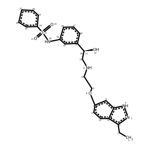 CCc1n[nH]c2cc(OCCNC[C@H](O)c3cccc(NS(=O)(=O)c4ccccc4)c3)ccc12